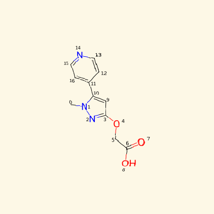 Cn1nc(OCC(=O)O)cc1-c1ccncc1